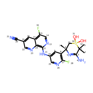 CC1(C)C(N)=N[C@](C)(c2cc(Nc3ncc(F)c4cc(C#N)cnc34)cnc2F)CS1(O)O